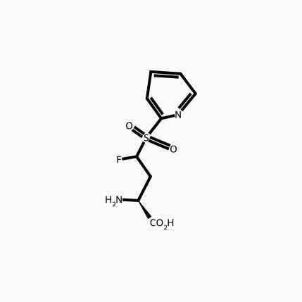 N[C@@H](CC(F)S(=O)(=O)c1ccccn1)C(=O)O